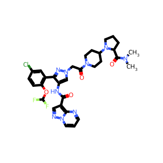 CN(C)C(=O)C1CCCN1C1CCN(C(=O)Cn2cc(NC(=O)c3cnn4cccnc34)c(-c3cc(Cl)ccc3OC(F)F)n2)CC1